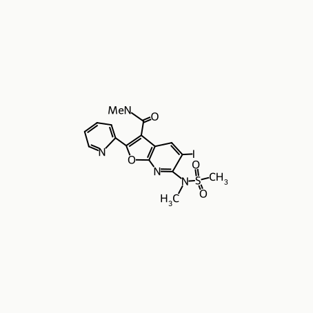 CNC(=O)c1c(-c2ccccn2)oc2nc(N(C)S(C)(=O)=O)c(I)cc12